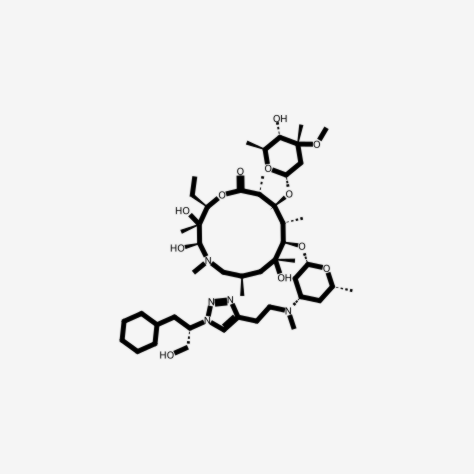 CC[C@H]1OC(=O)[C@H](C)[C@@H](O[C@H]2C[C@@](C)(OC)[C@@H](O)[C@H](C)O2)[C@H](C)[C@@H](O[C@H]2C[C@@H](N(C)CCc3cn([C@H](CO)CC4CCCCC4)nn3)C[C@@H](C)O2)[C@](C)(O)C[C@@H](C)CN(C)[C@@H](O)[C@]1(C)O